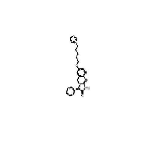 O=C1NC2=Nc3ccc(OCCCCCn4ccnc4)cc3CN2C1c1ccccc1